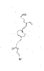 CC(C)CCOC(=O)CCN1CCN(CCC(=O)OCCC(C)(C)C)CC1